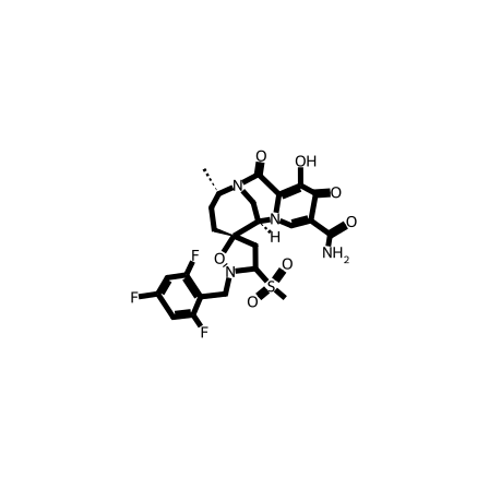 C[C@H]1CC[C@]2(CC(S(C)(=O)=O)N(Cc3c(F)cc(F)cc3F)O2)[C@H]2CN1C(=O)c1c(O)c(=O)c(C(N)=O)cn12